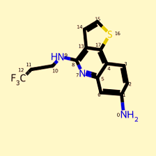 Nc1ccc2c(c1)nc(NCCC(F)(F)F)c1ccsc12